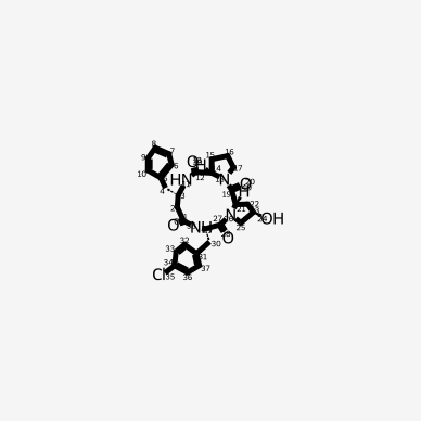 O=C1C[C@H](Cc2ccccc2)NC(=O)[C@@H]2CCCN2C(=O)[C@@H]2C[C@@H](O)CN2C(=O)[C@H](Cc2ccc(Cl)cc2)N1